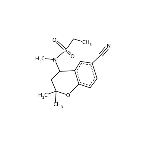 CCS(=O)(=O)N(C)C1CC(C)(C)Oc2ccc(C#N)cc21